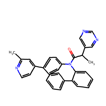 Cc1cc(-c2ccc(N(C(=O)C(C)c3cncnc3)c3ccccc3-c3ccccc3)cc2)ccn1